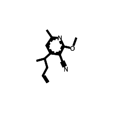 C=CCC(C)c1cc(C)nc(OC)c1C#N